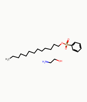 CCCCCCCCCCCCCOS(=O)(=O)c1ccccc1.NCCO